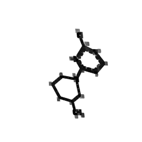 CC1CCCN(c2ccnc(Cl)n2)C1